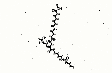 C=CCOC(=O)NCCCCCC(=O)N(CCNC(C)=O)CC(=O)NCCCCCCCCCCC(=O)NC